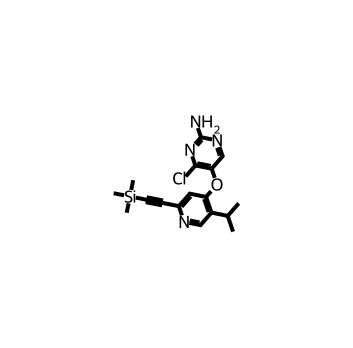 CC(C)c1cnc(C#C[Si](C)(C)C)cc1Oc1cnc(N)nc1Cl